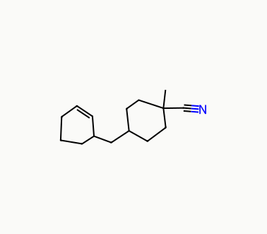 CC1(C#N)CCC(CC2C=CCCC2)CC1